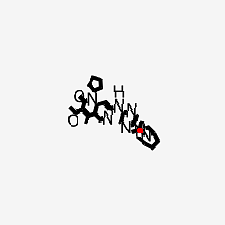 CC(=O)c1c(C)c2cnc(Nc3cnc(N4CC5CCC(C4)N5C(C)C)cn3)cc2n(C2CCCC2)c1=O